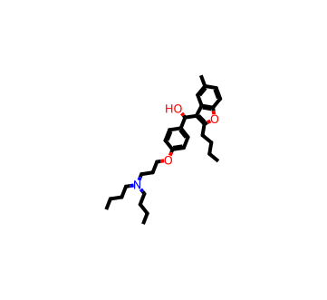 CCCCc1oc2ccc(C)cc2c1C(O)c1ccc(OCCCN(CCCC)CCCC)cc1